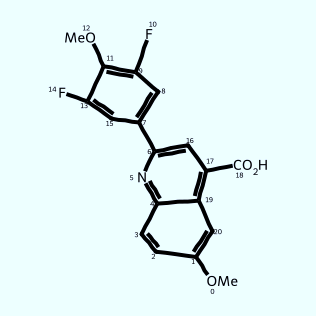 COc1ccc2nc(-c3cc(F)c(OC)c(F)c3)cc(C(=O)O)c2c1